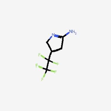 NC1=NCC(C(F)(F)C(F)(F)F)C1